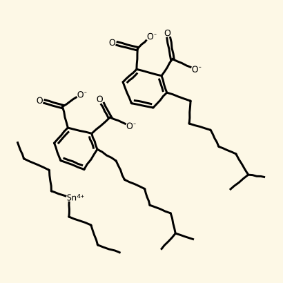 CC(C)CCCCCc1cccc(C(=O)[O-])c1C(=O)[O-].CC(C)CCCCCc1cccc(C(=O)[O-])c1C(=O)[O-].CCC[CH2][Sn+4][CH2]CCC